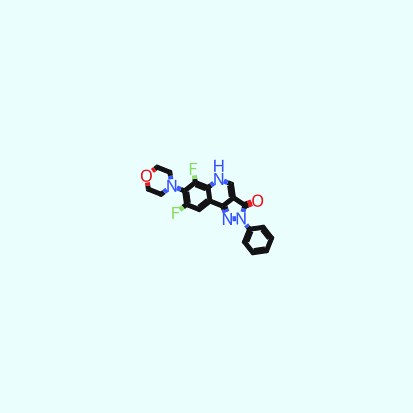 O=c1c2c[nH]c3c(F)c(N4CCOCC4)c(F)cc3c-2nn1-c1ccccc1